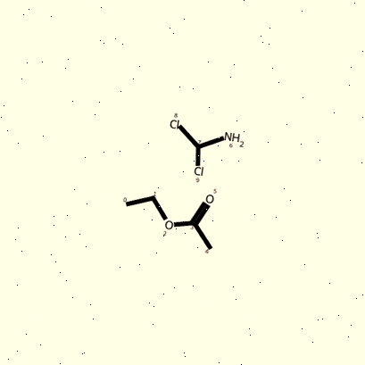 CCOC(C)=O.NC(Cl)Cl